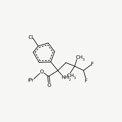 CC(C)OC(=O)C(N)(CC(C)(C)C(F)F)c1ccc(Cl)cc1